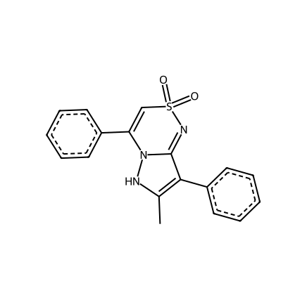 CC1=C(c2ccccc2)C2=NS(=O)(=O)C=C(c3ccccc3)N2N1